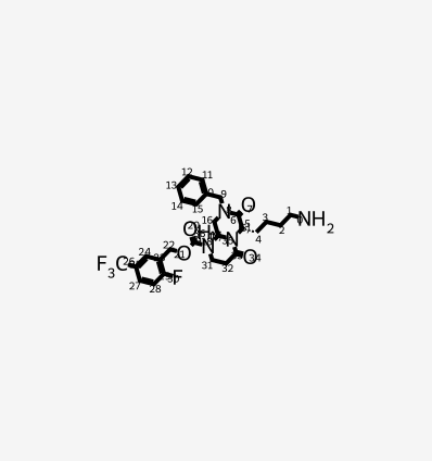 NCCCC[C@H]1C(=O)N(Cc2ccccc2)C[C@@H]2N(C(=O)OCc3cc(C(F)(F)F)ccc3F)CCC(=O)N21